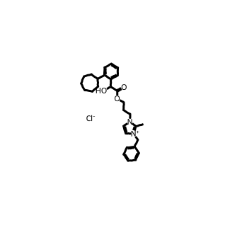 Cc1n(CCCOC(=O)C(O)c2ccccc2C2CCCCCC2)cc[n+]1Cc1ccccc1.[Cl-]